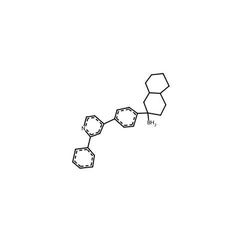 BC1(c2ccc(-c3ccnc(-c4ccccc4)c3)cc2)CCC2CCCCC2C1